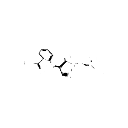 Cc1c(Nc2ccccc2C(=O)O)cnn1CCN(C)C